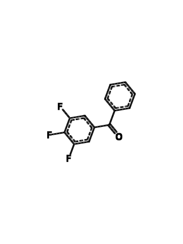 O=C(c1ccccc1)c1cc(F)c(F)c(F)c1